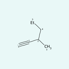 [C]#CC(C)CCC